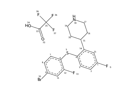 Fc1ccc(Sc2ccc(Br)cc2F)c(C2CCNCC2)c1.O=C(O)C(F)(F)F